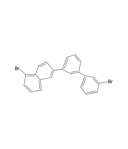 Brc1cccc(-c2cccc(-c3ccc4c(Br)cccc4c3)c2)c1